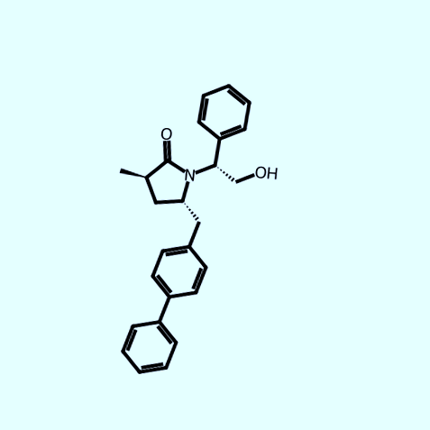 C[C@@H]1C[C@@H](Cc2ccc(-c3ccccc3)cc2)N([C@@H](CO)c2ccccc2)C1=O